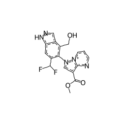 COC(=O)c1cn(-c2c(C(F)F)cc3[nH]ncc3c2CO)[n+]2cccnc12